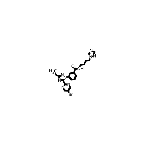 CCc1nc(-c2ncc(Br)cn2)n(-c2cccc(C(=O)NCCCCn3cncn3)c2)n1